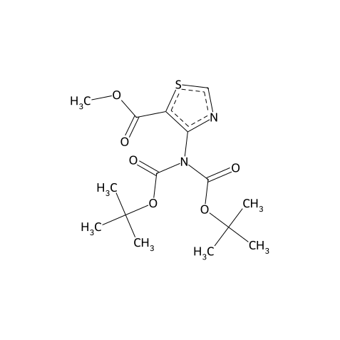 COC(=O)c1scnc1N(C(=O)OC(C)(C)C)C(=O)OC(C)(C)C